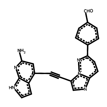 Nc1cc(C#Cc2cnc3ccc(-c4ccc(C=O)cc4)nn23)c2cc[nH]c2n1